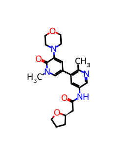 Cc1ncc(NC(=O)C[C@H]2CCCO2)cc1-c1cc(N2CCOCC2)c(=O)n(C)c1